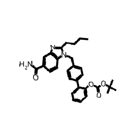 CCCCc1nc2cc(C(N)=O)ccc2n1Cc1ccc(-c2ccccc2OC(=O)OC(C)(C)C)cc1